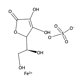 O=C1OC([C@@H](O)CO)C(O)=C1O.O=S(=O)([O-])[O-].[Fe+2]